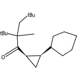 CC(C)(C)CC(C)(C(=O)[C@@H]1C[C@@H]1C1CCCCC1)C(C)(C)C